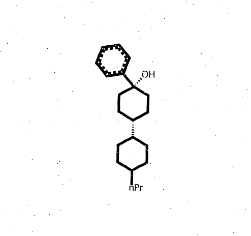 CCCC1CCC([C@H]2CC[C@](O)(c3ccccc3)CC2)CC1